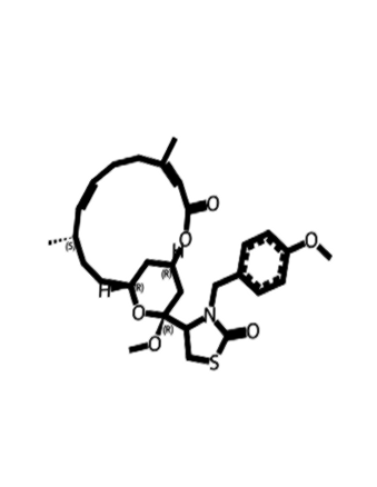 COc1ccc(CN2C(=O)SCC2[C@@]2(OC)C[C@H]3C[C@@H](CC[C@H](C)C=CCCC(C)=CC(=O)O3)O2)cc1